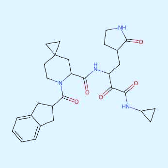 O=C(NC1CC1)C(=O)C(CC1CCNC1=O)NC(=O)C1CC2(CCN1C(=O)C1Cc3ccccc3C1)CC2